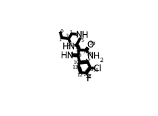 CCC1CNC/C(=C(/C(=N)c2ccc(F)c(Cl)c2)C(N)=O)N1